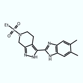 CCS(=O)(=O)N1CCc2c(n[nH]c2-c2nc3cc(C)c(C)cc3[nH]2)C1